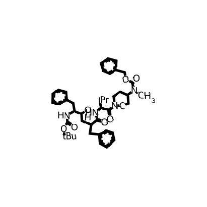 CC(C)C(NC(=O)C(Cc1ccccc1)CC(O)C(Cc1ccccc1)NC(=O)OC(C)(C)C)C(=O)N1CCC(N(C)C(=O)OCc2ccccc2)CC1